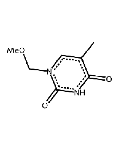 COCn1cc(C)c(=O)[nH]c1=O